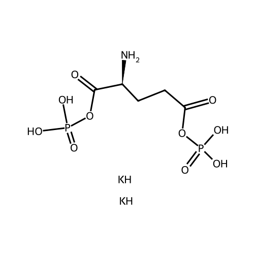 N[C@@H](CCC(=O)OP(=O)(O)O)C(=O)OP(=O)(O)O.[KH].[KH]